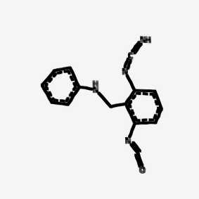 N=C=Nc1cccc(N=C=O)c1CNc1ccccc1